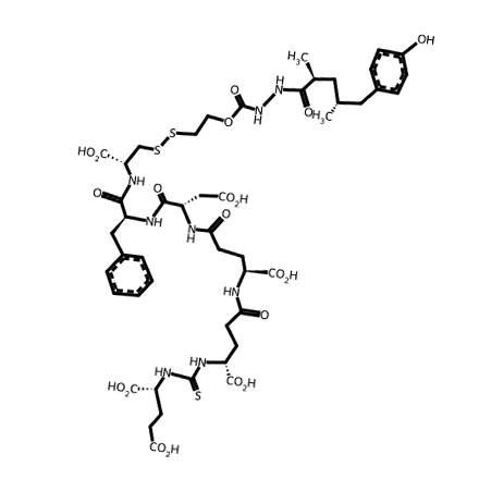 C[C@@H](Cc1ccc(O)cc1)C[C@H](C)C(=O)NNC(=O)OCCSSC[C@H](NC(=O)[C@H](Cc1ccccc1)NC(=O)[C@H](CC(=O)O)NC(=O)CC[C@H](NC(=O)CC[C@@H](NC(=S)N[C@H](CCC(=O)O)C(=O)O)C(=O)O)C(=O)O)C(=O)O